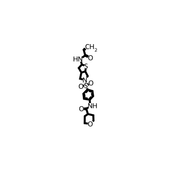 C=CC(=O)NC1CC2CN(S(=O)(=O)c3ccc(NC(=O)C4CCOCC4)cc3)CC2S1